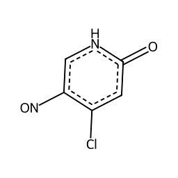 O=Nc1c[nH]c(=O)cc1Cl